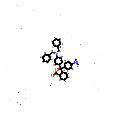 CN(C)c1ccc(C2(c3ccc(N(Cc4ccccc4)Cc4ccccc4)cc3)OC(=O)c3ccccc32)cc1